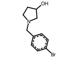 OC1CCN(Cc2ccc(Br)cc2)C1